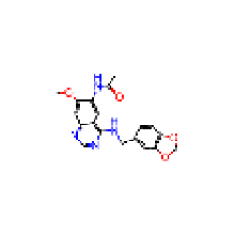 COc1cc2ncnc(NCc3ccc4c(c3)OCO4)c2cc1NC(C)=O